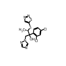 C[C@@H](Sc1cnns1)C(O)(Cn1cncn1)c1ccc(Cl)cc1Cl